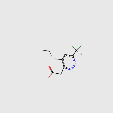 CCSc1cc(C(F)(F)F)nnc1CC(=O)O